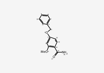 COc1cc(OCc2ccccc2)ccc1C(N)=O